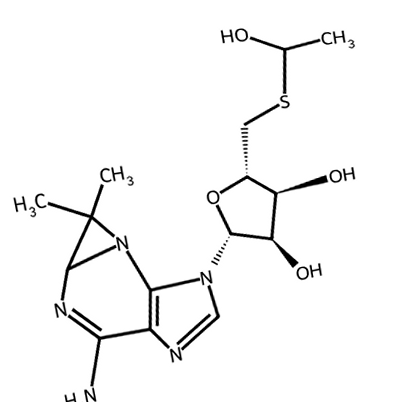 CC(O)SC[C@H]1O[C@@H](n2cnc3c2N2C(N=C3N)C2(C)C)[C@H](O)[C@@H]1O